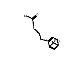 CCC(=O)OCCC1=CCC2CC1C2(C)C